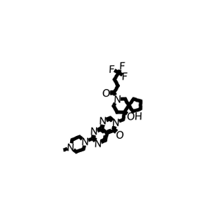 CN1CCN(c2ncc3c(=O)n(CC4(O)CCN(C(=O)CCC(F)(F)F)CC45CCCC5)cnc3n2)CC1